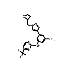 Cc1cc(Nc2nccc(C(F)(F)F)n2)cc(-c2cn(CC3CCO3)nn2)c1